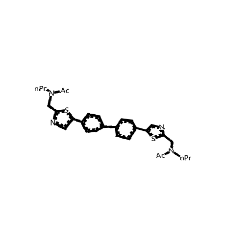 CCCN(Cc1ncc(-c2ccc(-c3ccc(-c4cnc(CN(CCC)C(C)=O)s4)cc3)cc2)s1)C(C)=O